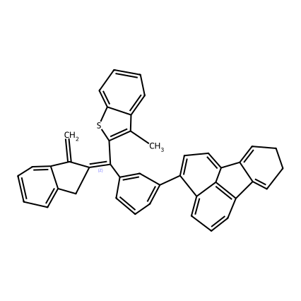 C=C1/C(=C(/c2cccc(-c3ccc4c5c(cccc35)C3=CCCC=C34)c2)c2sc3ccccc3c2C)Cc2ccccc21